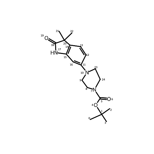 CC(C)(C)OC(=O)N1CCN(c2ccc3c(c2)NC(=O)C3(C)C)CC1